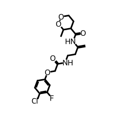 C=C(CCNC(=O)COc1ccc(Cl)c(F)c1)NC(=O)C1CCOOC1C